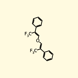 FC(F)(F)/C(=C\O/C=C(/c1ccccc1)C(F)(F)F)c1ccccc1